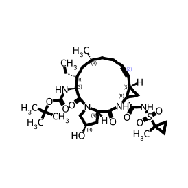 CC[C@@H]1C[C@H](C)CC/C=C\[C@@H]2C[C@@]2(C(=O)NS(=O)(=O)C2(C)CC2)NC(=O)[C@@H]2C[C@@H](O)CN2C(=O)[C@H]1NC(=O)OC(C)(C)C